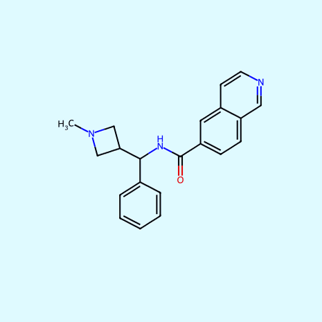 CN1CC(C(NC(=O)c2ccc3cnccc3c2)c2ccccc2)C1